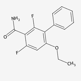 CCOc1cc(F)c(C(N)=O)c(F)c1-c1ccccc1